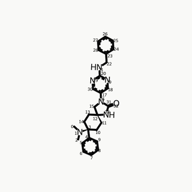 CN(C)[C@]1(c2ccccc2)CC[C@@]2(CC1)CN(c1cnc(NCc3ccccc3)nc1)C(=O)N2